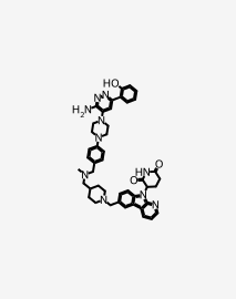 CN(Cc1ccc(N2CCN(c3cc(-c4ccccc4O)nnc3N)CC2)cc1)CC1CCN(Cc2ccc3c(c2)c2cccnc2n3C2CCC(=O)NC2=O)CC1